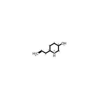 C=CCC1CCC(O)CN1